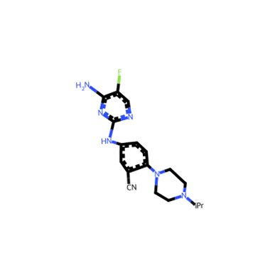 CC(C)N1CCN(c2ccc(Nc3ncc(F)c(N)n3)cc2C#N)CC1